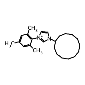 Cc1cc(C)c(-[n+]2ccn(C3CCCCCCCCCCC3)c2)c(C)c1